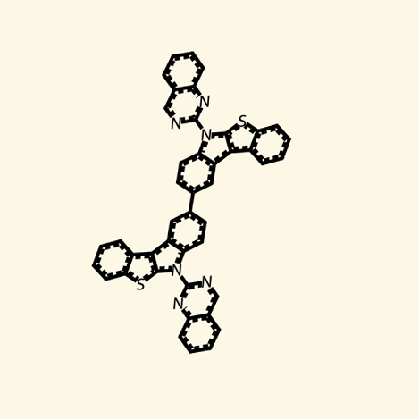 c1ccc2nc(-n3c4ccc(-c5ccc6c(c5)c5c7ccccc7sc5n6-c5ncc6ccccc6n5)cc4c4c5ccccc5sc43)ncc2c1